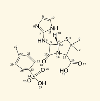 CC1(C)S[C@H]2C(Nc3ncc[nH]3)C(=O)N2C1C(=O)O.Cc1ccc(S(=O)(=O)O)cc1